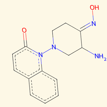 NC1CN(n2c(=O)ccc3ccccc32)CCC1=NO